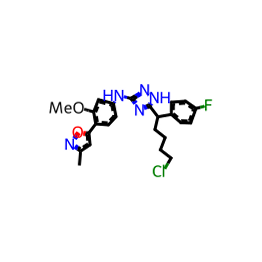 COc1cc(Nc2n[nH]c(C(CCCCCl)c3ccc(F)cc3)n2)ccc1-c1cc(C)no1